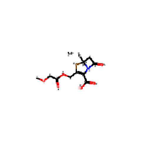 COCC(=O)OCC1=C(C(=O)O)N2C(=O)C[C@H]2S1.[NaH]